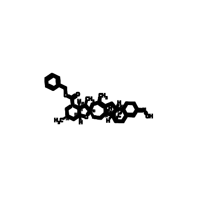 CC1=C2C[C@H]3[C@@H](CCC4=CC(=NO)CC[C@@]43C)[C@@H]2CC[C@@]2(C1)O[C@@H]1C[C@H](C)CN(C(=O)OCc3ccccc3)[C@H]1[C@H]2C